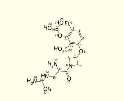 CCc1ccc(OC2CN(C(=O)C(N)CNC(N)O)C2)c(C(=O)O)c1OB(O)O